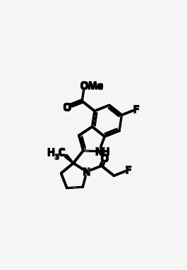 COC(=O)c1cc(F)cc2[nH]c([C@@]3(C)CCCN3C(=O)CF)cc12